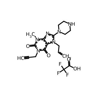 C#CCn1c(=O)c2c(nc(N3CCNCC3)n2CC=C)n(C)c1=O.O=C(O)C(F)(F)F